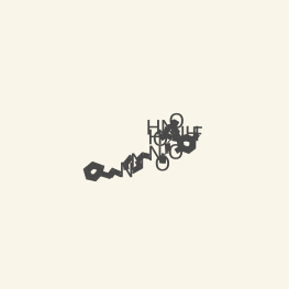 O=C1NC(=O)[C@@]2(C[C@@H](C(=O)NCCN3CCN(C/C=C/c4ccccc4)CC3)Oc3ccc(F)cc32)N1